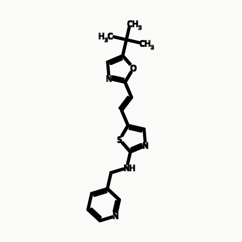 CC(C)(C)c1cnc(/C=C/c2cnc(NCc3cccnc3)s2)o1